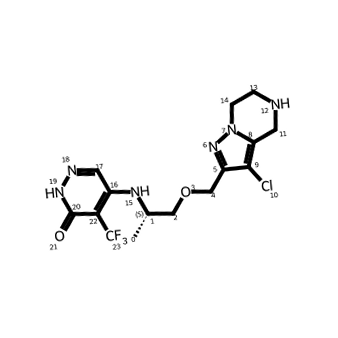 C[C@@H](COCc1nn2c(c1Cl)CNCC2)Nc1cn[nH]c(=O)c1C(F)(F)F